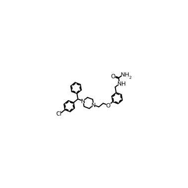 NC(=O)NCc1cccc(OCCN2CCN(C(c3ccccc3)c3ccc(Cl)cc3)CC2)c1